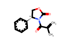 C=C(C)C(=O)N1C(=O)OC[C@H]1c1ccccc1